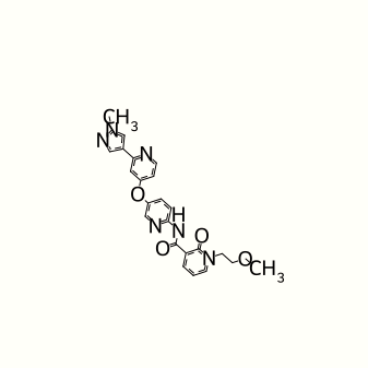 COCCn1cccc(C(=O)Nc2ccc(Oc3ccnc(-c4cnn(C)c4)c3)cn2)c1=O